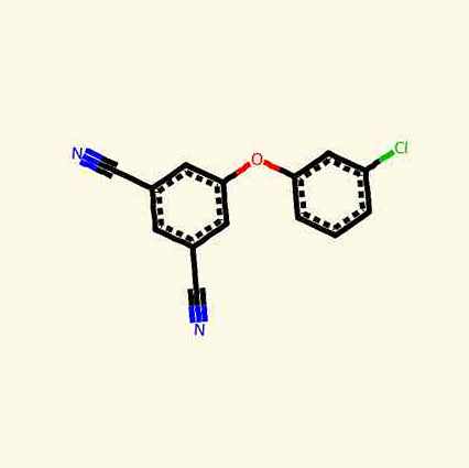 N#Cc1cc(C#N)cc(Oc2cccc(Cl)c2)c1